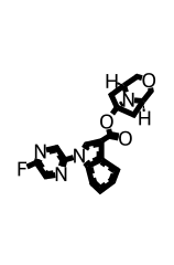 CN1[C@@H]2COC[C@H]1CC(OC(=O)c1cn(-c3cnc(F)cn3)c3ccccc13)C2